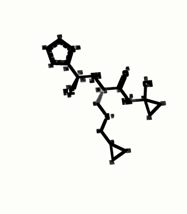 N#CC1(NC(=O)[C@H](CSCC2CC2)N[C@H](c2cccs2)C(F)(F)F)CC1